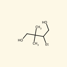 CCC(CO)C(C)(C)CO